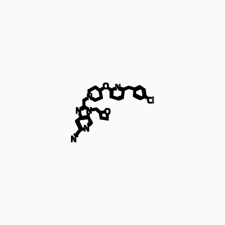 N#Cc1cc2nc(CN3CCC(Oc4cccc(Cc5ccc(Cl)cc5)n4)CC3)n(CC3CCO3)c2cn1